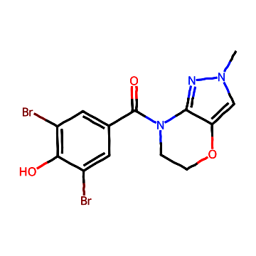 Cn1cc2c(n1)N(C(=O)c1cc(Br)c(O)c(Br)c1)CCO2